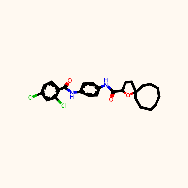 O=C(Nc1ccc(NC(=O)C2CCC3(CCCCCCCC3)O2)cc1)c1ccc(Cl)cc1Cl